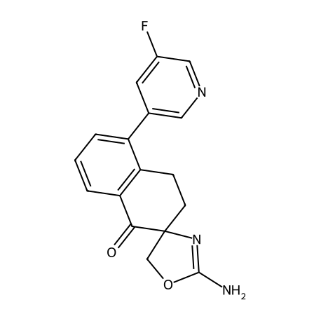 NC1=NC2(CCc3c(cccc3-c3cncc(F)c3)C2=O)CO1